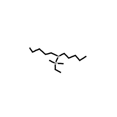 CCCCCN(CCCCC)[N+](C)(C)CC